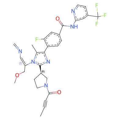 C=N/C=C(/COC)n1c([C@@H]2CCN(C(=O)C#CC)C2)nc(-c2ccc(C(=O)Nc3cc(C(F)(F)F)ccn3)cc2F)c1C